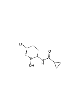 CCC1CCC(NC(=O)C2CC2)B(O)O1